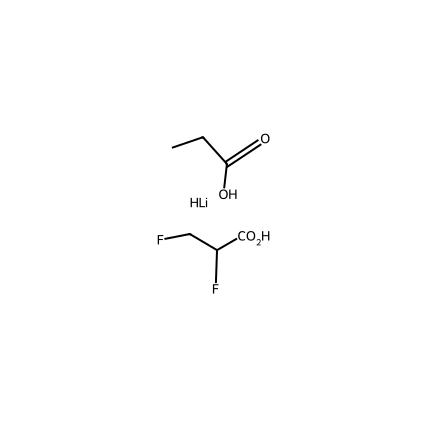 CCC(=O)O.O=C(O)C(F)CF.[LiH]